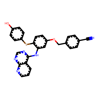 N#Cc1ccc(COc2ccc(Sc3ccc(O)cc3)c(Nc3ncnc4ncccc34)c2)cc1